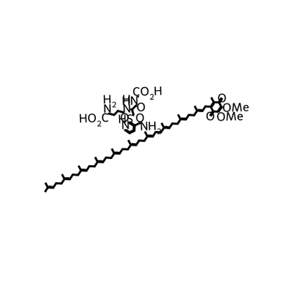 COC1=C(OC)C(=O)C(C/C=C(\C)CC/C=C(\C)CC/C=C(\C)CC/C=C(\C)CC/C=C(\C)CC/C=C(\C)CC/C=C(\C)CC/C=C(\C)CC/C=C(\C)CCC=C(C)C)=C(C)C1=O.NC(=O)c1cccnc1.NC(CCC(=O)NC(CS)C(=O)NCC(=O)O)C(=O)O